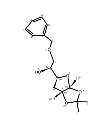 CC1(C)O[C@H]2O[C@H]([C@@H](O)COCc3ccccc3)C[C@H]2O1